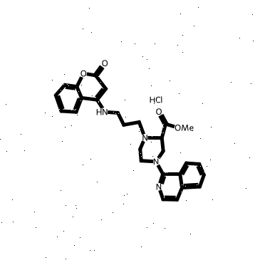 COC(=O)C1CN(c2nccc3ccccc23)CCN1CCCNc1cc(=O)oc2ccccc12.Cl